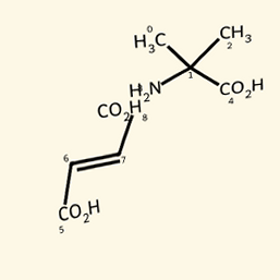 CC(C)(N)C(=O)O.O=C(O)C=CC(=O)O